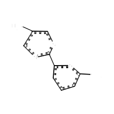 Bc1cnc(-c2cccc(C)n2)nc1